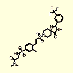 Cc1cc(S(=O)(=O)NCC(=O)N(C)C)ccc1C=CS(=O)(=O)N1CCC2(CC1)N=C(c1cccc(C(F)(F)F)c1)NC2=O